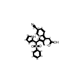 Cc1c(CC(=O)O)c2ccc(C#N)cn2c1C(c1ccc[nH]1)S(=O)(=O)c1ccccc1